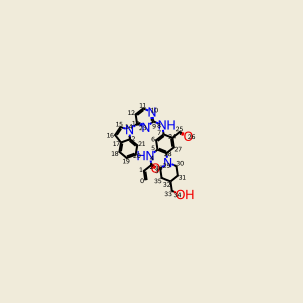 C=CC(=O)Nc1cc(Nc2nccc(-n3ccc4ccccc43)n2)c(C=O)cc1N1CCC(CO)CC1